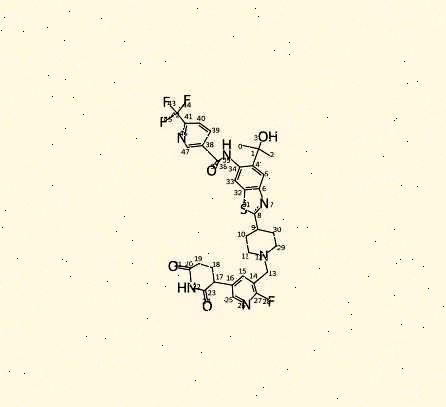 CC(C)(O)c1cc2nc(C3CCN(Cc4cc(C5CCC(=O)NC5=O)cnc4F)CC3)sc2cc1NC(=O)c1ccc(C(F)(F)F)nc1